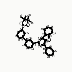 CC1(C)OB(c2cccc(-c3cccc(-c4nc(-c5ccccc5)c5oc6ccccc6c5n4)c3)c2)OC1(C)C